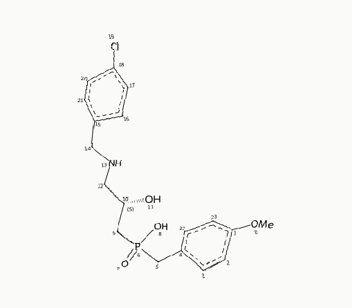 COc1ccc(CP(=O)(O)C[C@@H](O)CNCc2ccc(Cl)cc2)cc1